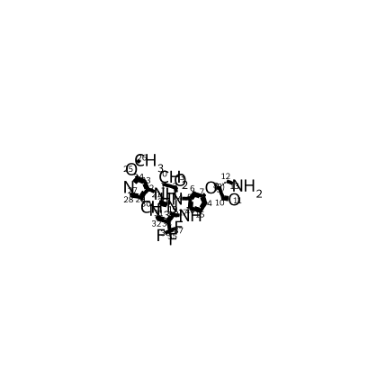 C=CC(=O)Nc1cc(O[C@@H](C=O)CN)ccc1Nc1nc(Nc2cc(OC)ncc2C)ncc1C(F)(F)F